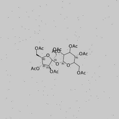 CC(=O)OCC1O[C@H](O[C@]2(COC(C)=O)O[C@H](COC(C)=O)[C@@H](OC(C)=O)[C@@H]2OC(C)=O)C(OC(C)=O)C(OC(C)=O)[C@@H]1OC(C)=O